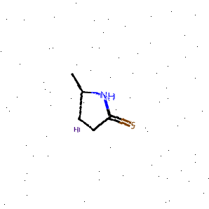 CC1CCC(=S)N1.I